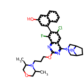 CC1COCC(C)N1CCCOc1nc(N2CC3CCC(C2)N3)c2cc(Cl)c(-c3cc(O)cc4ccccc34)c(F)c2n1